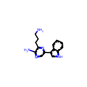 NCCCc1nc(-c2c[nH]c3ccccc23)cnc1N